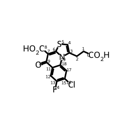 O=C(O)CCc1csc2c(C(=O)O)c(=O)c3cc(F)c(Cl)cc3n12